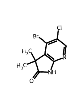 CC1(C)C(=O)Nc2ncc(Cl)c(Br)c21